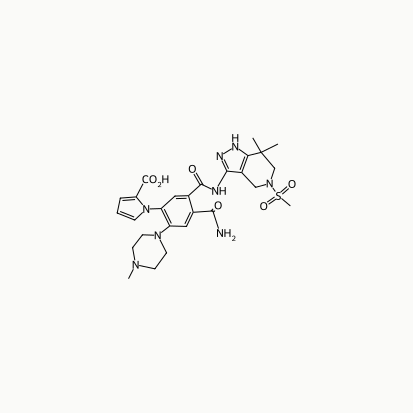 CN1CCN(c2cc(C(N)=O)c(C(=O)Nc3n[nH]c4c3CN(S(C)(=O)=O)CC4(C)C)cc2-n2cccc2C(=O)O)CC1